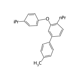 CCCc1ccc(-c2ccc(C)cc2)cc1Oc1ccc(C(C)C)cc1